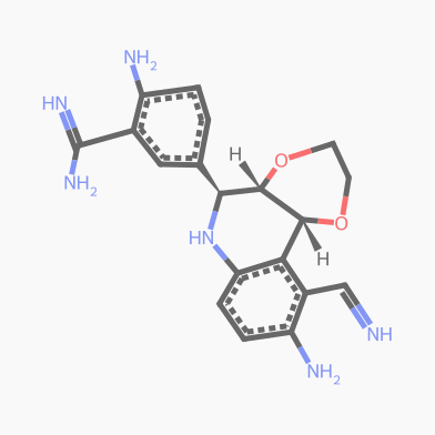 N=Cc1c(N)ccc2c1[C@H]1OCCO[C@H]1[C@H](c1ccc(N)c(C(=N)N)c1)N2